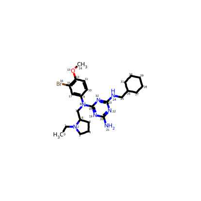 CCN1CCCC1CN(c1ccc(OC)c(Br)c1)c1nc(N)nc(NCC2CCCCC2)n1